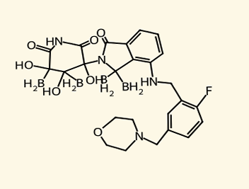 BC1(B)c2c(NCc3cc(CN4CCOCC4)ccc3F)cccc2C(=O)N1C1(O)C(=O)NC(=O)C(B)(O)C1(B)O